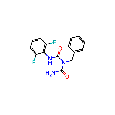 NC(=O)N(Cc1ccccc1)C(=O)Nc1c(F)cccc1F